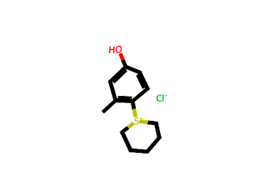 Cc1cc(O)ccc1[S+]1CCCCC1.[Cl-]